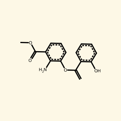 C=C(Oc1cccc(C(=O)OC)c1N)c1ccccc1O